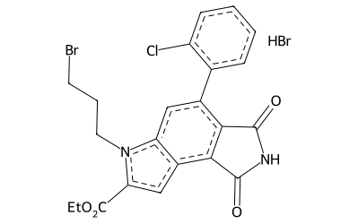 Br.CCOC(=O)c1cc2c3c(c(-c4ccccc4Cl)cc2n1CCCBr)C(=O)NC3=O